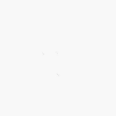 CN(C)c1ccc2c(c1)N(c1ccccc1)c1ccccc1N2